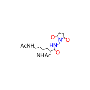 CC(=O)NCCCCC(NC(C)=O)C(=O)NCN1C(=O)C=CC1=O